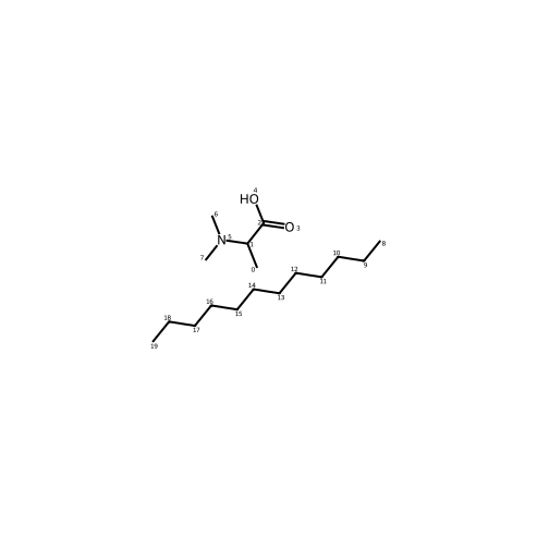 CC(C(=O)O)N(C)C.CCCCCCCCCCCC